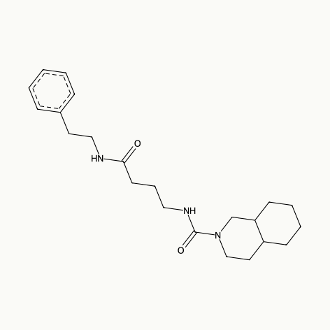 O=C(CCCNC(=O)N1CCC2CCCCC2C1)NCCc1ccccc1